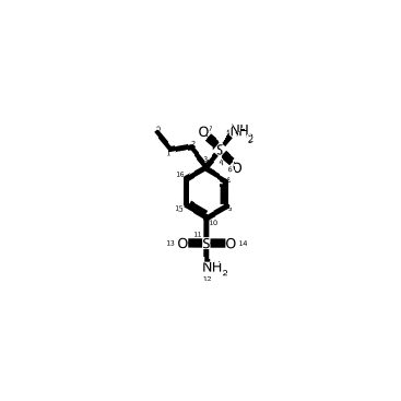 CCCC1(S(N)(=O)=O)C=CC(S(N)(=O)=O)=CC1